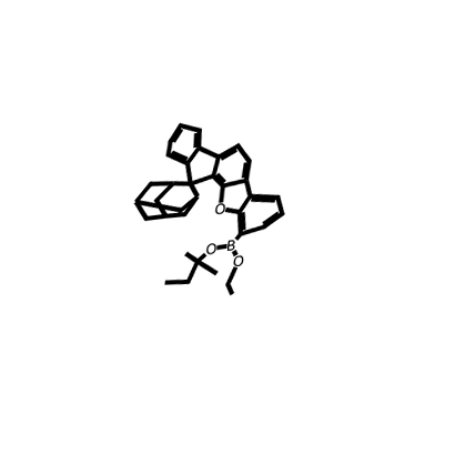 CCOB(OC(C)(C)CC)c1cccc2c1oc1c3c(ccc12)-c1ccccc1C31C2CC3CC(C2)CC1C3